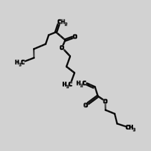 C=C(CCCCC)C(=O)OCCCC.C=CC(=O)OCCCC